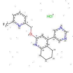 Cl.FC(F)(F)c1cccc(COc2cc(-c3cncnc3)c3c(n2)CCCC3)n1